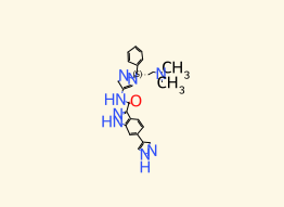 CN(C)CC[C@@H](c1ccccc1)n1cc(NC(=O)c2n[nH]c3cc(-c4cn[nH]c4)ccc23)cn1